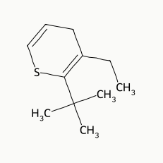 CCC1=C(C(C)(C)C)SC=CC1